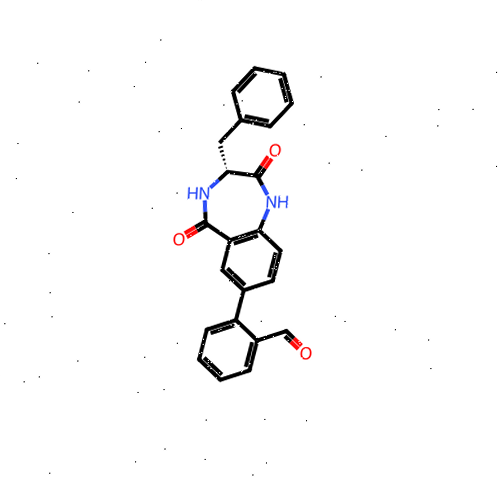 O=Cc1ccccc1-c1ccc2c(c1)C(=O)N[C@H](Cc1ccccc1)C(=O)N2